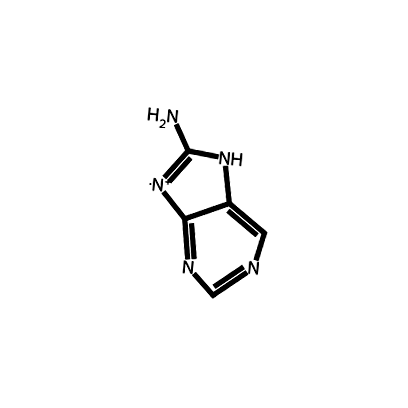 NC1=[N+]c2ncncc2N1